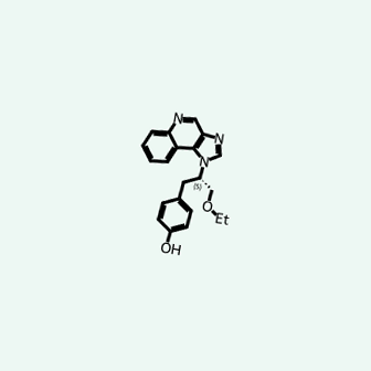 CCOC[C@H](Cc1ccc(O)cc1)n1cnc2cnc3ccccc3c21